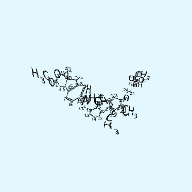 COC(=O)CC1c2ccc(NCc3cccc(C4=C(C)C(C)C(OCCCNS(C)(=O)=O)C=C4C)c3C)cc2CC12CC2